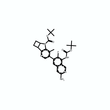 Cc1c(-c2cc3cc(N)ncc3c(NC(=O)OC(C)(C)C)c2F)cnc2c1N(C(=O)OC(C)(C)C)C1CCC21